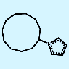 c1ccn(C2CCCCCCCCCC2)c1